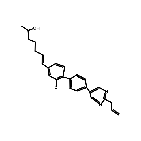 C=CCc1ncc(-c2ccc(-c3ccc(C=CCCCC(C)O)cc3F)cc2)cn1